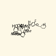 COc1ccc(OC)c(C(c2c(OC)cccc2OC)N(C(=O)O)c2ccnc(Nc3ccc(OCC4CCCN(C)C4)c(F)c3)n2)c1